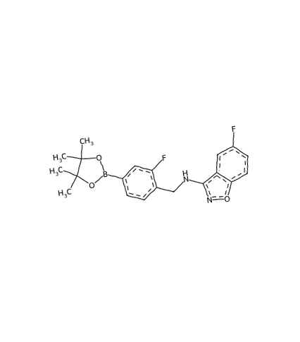 CC1(C)OB(c2ccc(CNc3noc4ccc(F)cc34)c(F)c2)OC1(C)C